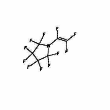 FC(F)=C(F)N1C(F)(F)C(F)(F)C(F)(F)C1(F)F